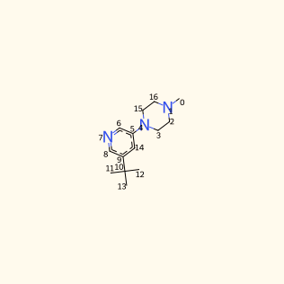 CN1CCN(c2cncc(C(C)(C)C)c2)CC1